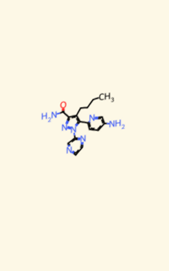 CCCCc1c(C(N)=O)nn(-c2cnccn2)c1-c1ccc(N)cn1